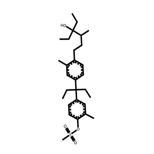 CCC(CC)(c1ccc(CCC(C)C(O)(CC)CC)c(C)c1)c1ccc(OS(C)(=O)=O)c(C)c1